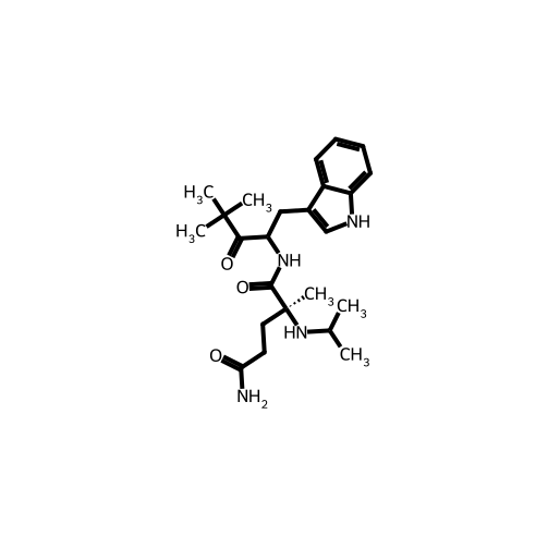 CC(C)N[C@@](C)(CCC(N)=O)C(=O)NC(Cc1c[nH]c2ccccc12)C(=O)C(C)(C)C